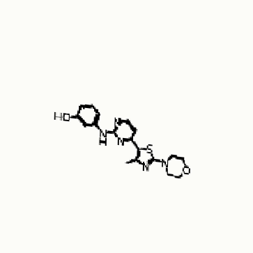 Cc1nc(N2CCOCC2)sc1-c1ccnc(Nc2cccc(O)c2)n1